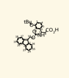 CC(C)(C)Oc1cccc(C(CC(=O)O)NC(=O)OCC2c3ccccc3-c3ccccc32)c1